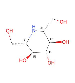 OC[C@@H]1N[C@H](CO)[C@@H](O)[C@H](O)[C@H]1O